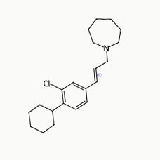 Clc1cc(/C=C/CN2CCCCCC2)ccc1C1CCCCC1